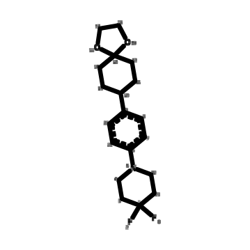 FC1(F)CCN(c2ccc(C3CCC4(CC3)OCCO4)cc2)CC1